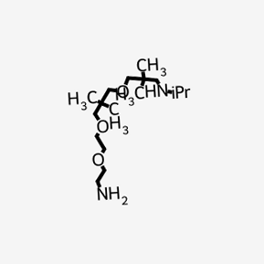 CC(C)NCC(C)(C)COCC(C)(C)COCCOCCN